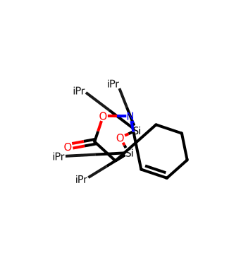 CC(C)[Si]1(C(C)C)O[Si](C(C)C)(C(C)C)N2OC(=O)C1C21C=CCCC1